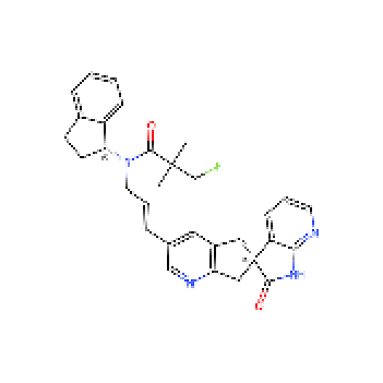 CC(C)(CF)C(=O)N(CC=Cc1cnc2c(c1)C[C@@]1(C2)C(=O)Nc2ncccc21)[C@@H]1CCc2ccccc21